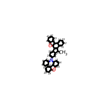 CC1c2cc(N(c3ccccc3)c3cccc4oc5ccccc5c34)ccc2-c2c1c1ccccc1c1c2oc2ccccc21